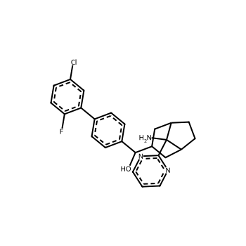 NC1(c2ncccn2)C2CCC1CC(C(O)c1ccc(-c3cc(Cl)ccc3F)cc1)C2